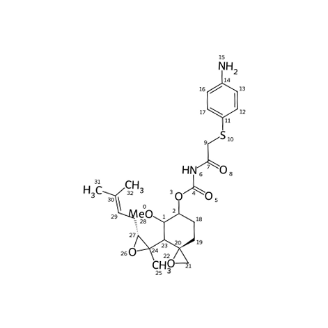 COC1C(OC(=O)NC(=O)CSc2ccc(N)cc2)CC[C@]2(CO2)C1C1(C)O[C@@H]1CC=C(C)C